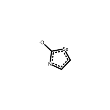 [O]c1ncc[se]1